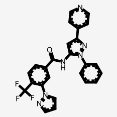 O=C(Nc1cc(-c2ccncc2)nn1-c1ccccc1)c1ccc(C(F)(F)F)c(-n2cccn2)c1